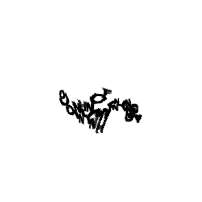 O=S(=O)(C1CC1)n1cc(-c2nccc(Nc3cc(NC4CCC(F)CC4)c(-c4cnc(OC5CCOCC5)cn4)cn3)n2)cn1